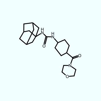 O=C(NC1CCC(C(=O)N2CCOCC2)CC1)NC12CC3CC(CC(C3)C1)C2